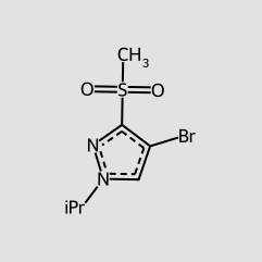 CC(C)n1cc(Br)c(S(C)(=O)=O)n1